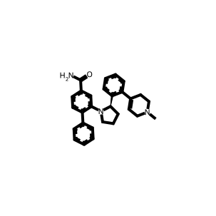 CN1CC=C(c2ccccc2[C@H]2CCCN2c2cc(C(N)=O)ccc2-c2ccccc2)CC1